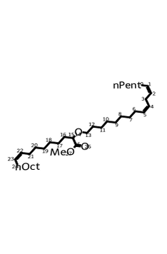 CCCCC/C=C\C/C=C\CCCCCCCCOC(CCCCCC/C=C\CCCCCCCC)C(=O)OC